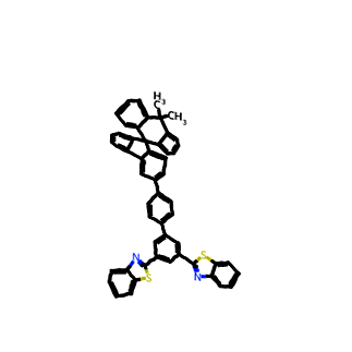 CC1(C)c2ccccc2C2(c3ccccc3-c3cc(-c4ccc(-c5cc(-c6nc7ccccc7s6)cc(-c6nc7ccccc7s6)c5)cc4)ccc32)c2ccccc21